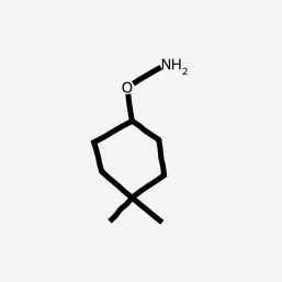 CC1(C)CCC(ON)CC1